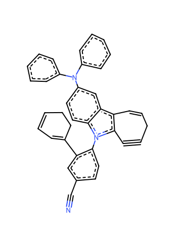 N#Cc1ccc(-n2c3c(c4cc(N(c5ccccc5)c5ccccc5)ccc42)C=CCC#C3)c(C2=CC=CCC2)c1